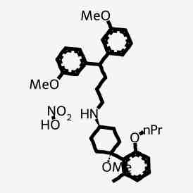 CCCOc1cccc(C)c1[C@]1(OC)CC[C@H](NCCCC(c2cccc(OC)c2)c2cccc(OC)c2)CC1.O=[N+]([O-])O